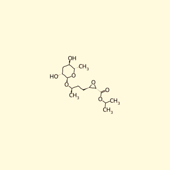 CC(C)OC(=O)[C@H]1O[C@@H]1CC[C@@H](C)O[C@@H]1O[C@@H](C)[C@H](O)C[C@H]1O